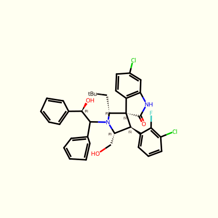 CC(C)(C)C[C@H]1N(C(c2ccccc2)[C@H](O)c2ccccc2)[C@@H](CO)[C@H](c2cccc(Cl)c2F)[C@@]12C(=O)Nc1cc(Cl)ccc12